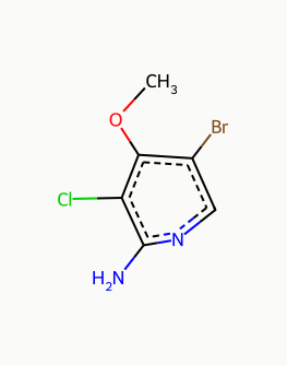 COc1c(Br)cnc(N)c1Cl